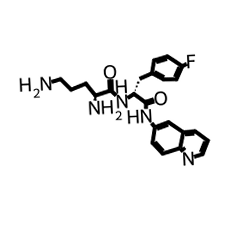 NCCC[C@H](N)C(=O)N[C@H](Cc1ccc(F)cc1)C(=O)Nc1ccc2ncccc2c1